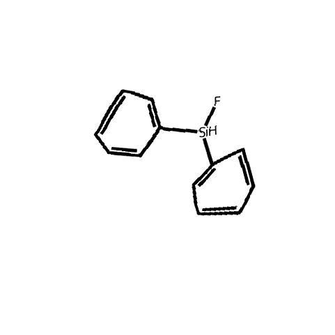 F[SiH](c1ccccc1)c1ccccc1